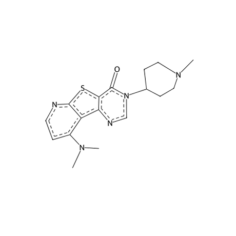 CN1CCC(n2cnc3c(sc4nccc(N(C)C)c43)c2=O)CC1